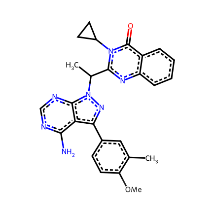 COc1ccc(-c2nn(C(C)c3nc4ccccc4c(=O)n3C3CC3)c3ncnc(N)c23)cc1C